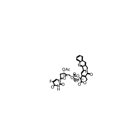 CC[C@@]1(OP(=O)(O)OC[C@H]2O[C@@H](n3cc(F)c(=O)[nH]c3=O)C[C@@H]2OC(C)=O)C(=O)OCc2c1cc1n(c2=O)Cc2cc3ccccc3nc2-1